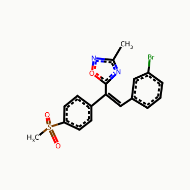 Cc1noc(C(=Cc2cccc(Br)c2)c2ccc(S(C)(=O)=O)cc2)n1